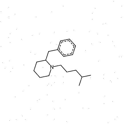 CC(C)CCCN1CCCCC1Cc1ccccc1